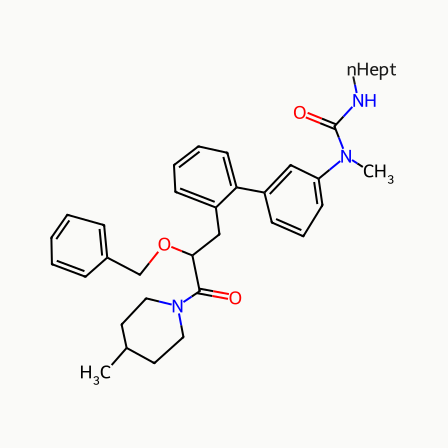 CCCCCCCNC(=O)N(C)c1cccc(-c2ccccc2CC(OCc2ccccc2)C(=O)N2CCC(C)CC2)c1